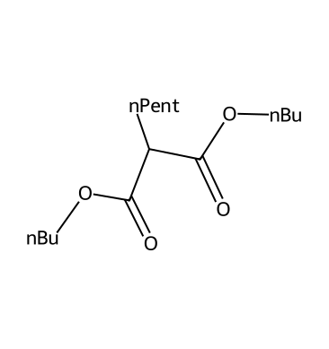 CCCCCC(C(=O)OCCCC)C(=O)OCCCC